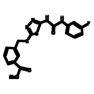 CC(C)COC(=O)c1cccc(CSc2nnc(NC(=O)Nc3cccc(F)c3)s2)c1